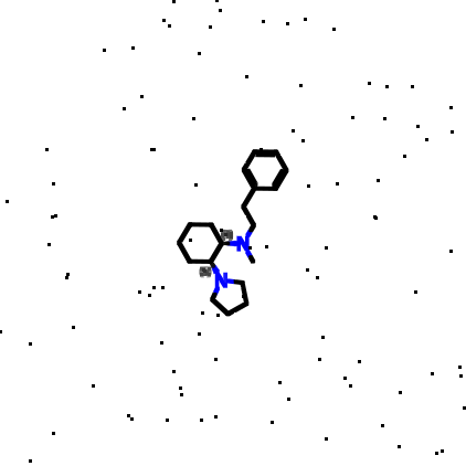 CN(CCc1ccccc1)[C@@H]1CCCC[C@@H]1N1CCCC1